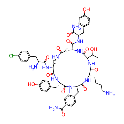 CC(O)C1NC(=O)[C@H](CCCCN)NC(=O)[C@@H](Cc2ccc(C(N)=O)cc2)NC(=O)[C@H](Cc2ccc(O)cc2)NC(=O)[C@H](NC(=O)[C@@H](N)Cc2ccc(Cl)cc2)CNC(=O)C[C@@H](C(=O)N[C@H](Cc2ccc(O)cc2)C(N)=O)NC1=O